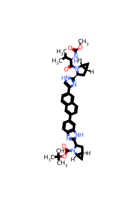 COC(=O)N[C@H](C(=O)N1[C@@H]2C[C@@H]2C[C@H]1c1nc(-c2ccc3cc(-c4ccc5nc(C6C[C@H]7C[C@H]7N6C(=O)OC(C)(C)C)[nH]c5c4)ccc3c2)c[nH]1)C(C)C